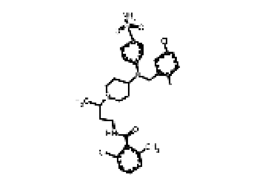 Cc1cccc(Cl)c1C(=O)NCCC(C)N1CCC(N(Cc2cc(Cl)ccc2F)c2ccc(S(N)(=O)=O)cc2)CC1